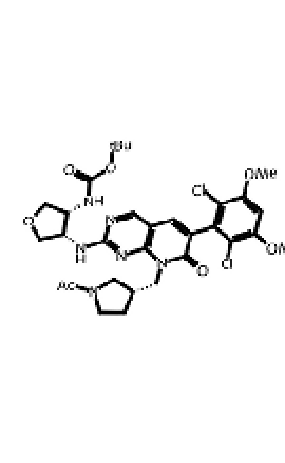 COc1cc(OC)c(Cl)c(-c2cc3cnc(N[C@@H]4COC[C@@H]4NC(=O)OC(C)(C)C)nc3n(C[C@@H]3CCN(C(C)=O)C3)c2=O)c1Cl